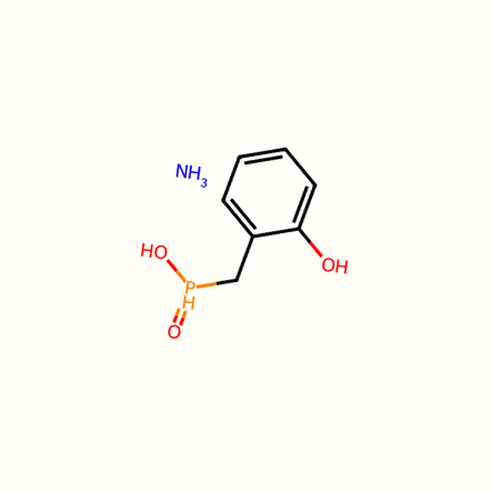 N.O=[PH](O)Cc1ccccc1O